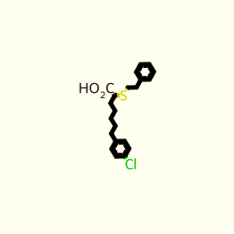 O=C(O)C(CCCCCc1ccc(Cl)cc1)SCCc1ccccc1